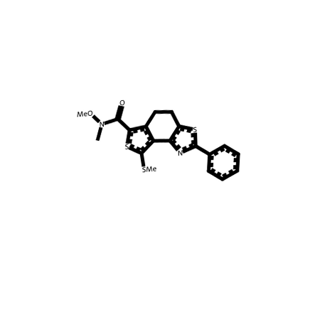 CON(C)C(=O)c1sc(SC)c2c1CCc1sc(-c3ccccc3)nc1-2